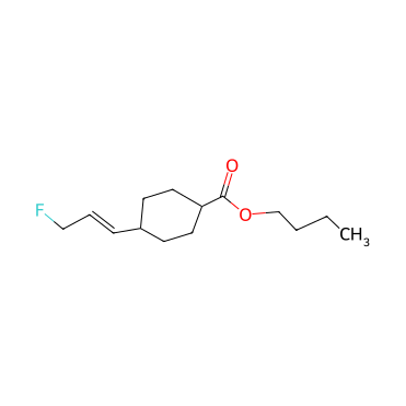 CCCCOC(=O)C1CCC(/C=C/CF)CC1